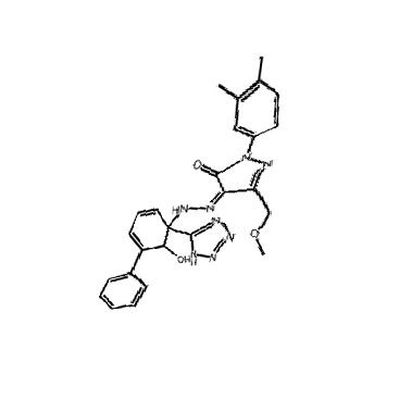 COCC1=NN(c2ccc(C)c(C)c2)C(=O)C1=NNC1(c2nnn[nH]2)C=CC=C(c2ccccc2)C1O